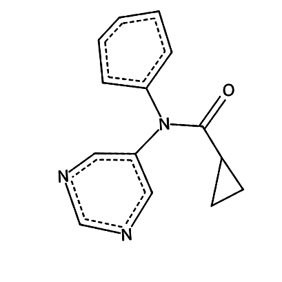 O=C(C1CC1)N(c1ccccc1)c1cncnc1